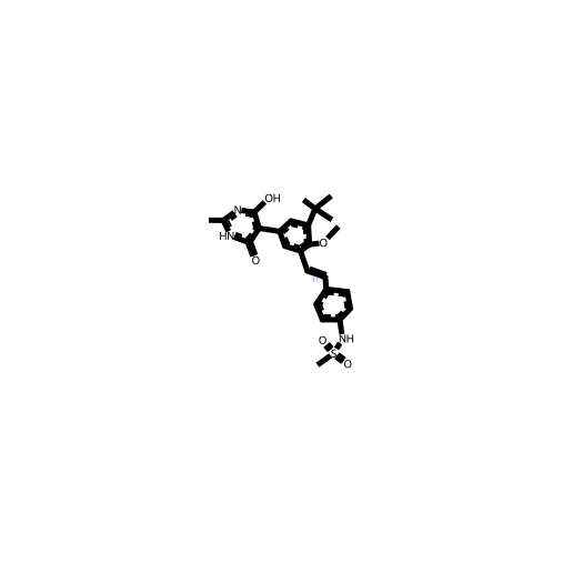 COc1c(/C=C/c2ccc(NS(C)(=O)=O)cc2)cc(-c2c(O)nc(C)[nH]c2=O)cc1C(C)(C)C